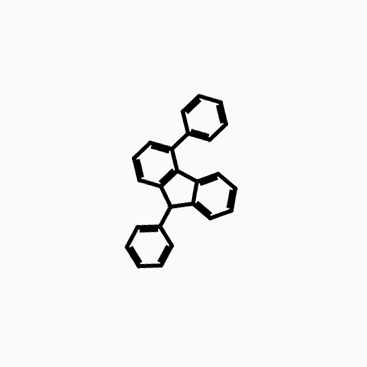 c1ccc([C]2c3ccccc3-c3c2cccc3-c2ccccc2)cc1